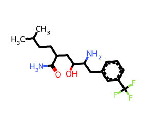 CC(C)CCC(CC(O)C(N)Cc1cccc(C(F)(F)F)c1)C(N)=O